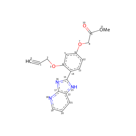 C#CCOc1cc(OCC(=O)OC)ccc1-c1nc2ncccc2[nH]1